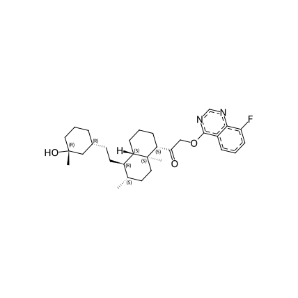 C[C@H]1CC[C@]2(C)[C@@H](C(=O)COc3ncnc4c(F)cccc34)CCC[C@H]2[C@@H]1CC[C@H]1CCC[C@@](C)(O)C1